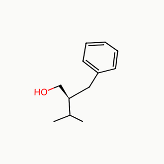 CC(C)[C@@H](CO)Cc1ccccc1